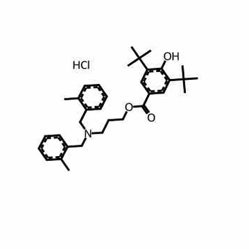 Cc1ccccc1CN(CCCOC(=O)c1cc(C(C)(C)C)c(O)c(C(C)(C)C)c1)Cc1ccccc1C.Cl